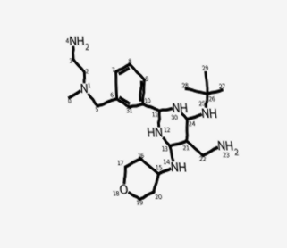 CN(CCN)Cc1cccc(C2NC(NC3CCOCC3)C(CN)C(NC(C)(C)C)N2)c1